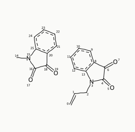 C=CCN1C(=O)C(=O)c2ccccc21.CN1C(=O)C(=O)c2ccccc21